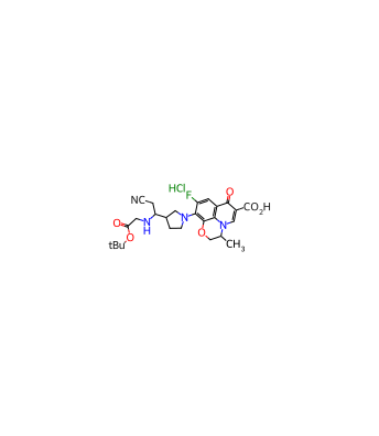 CC1COc2c(N3CCC(C(CC#N)NCC(=O)OC(C)(C)C)C3)c(F)cc3c(=O)c(C(=O)O)cn1c23.Cl